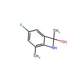 Cc1cc(F)cc2c1NC2(C)O